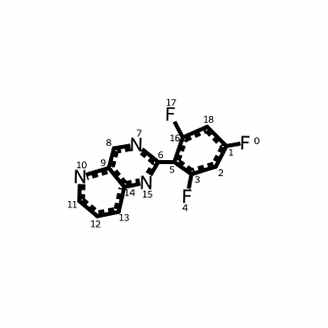 Fc1cc(F)c(-c2ncc3ncccc3n2)c(F)c1